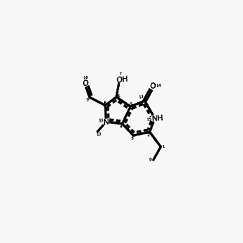 CCc1cc2c(c(O)c(C=O)n2C)c(=O)[nH]1